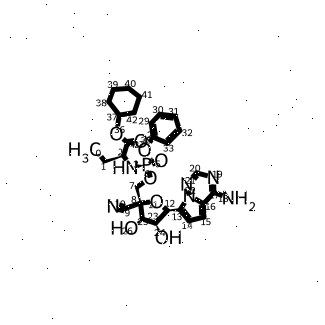 CC[C@H](N[P@@](=O)(OC[C@@]1(C#N)O[C@@H](c2ccc3c(N)ncnn23)[C@H](O)[C@@H]1O)Oc1ccccc1)C(=O)OC1CCCCC1